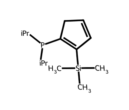 CC(C)P(C1=C([Si](C)(C)C)C=CC1)C(C)C